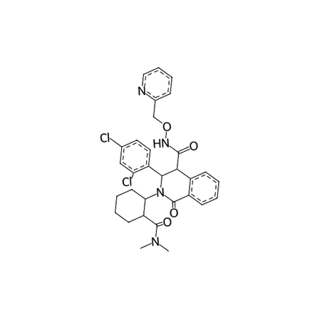 CN(C)C(=O)C1CCCCC1N1C(=O)c2ccccc2C(C(=O)NOCc2ccccn2)C1c1ccc(Cl)cc1Cl